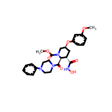 COC(=O)N1C[C@@H](Oc2cccc(OC)c2)C[C@H](C(=O)NO)[C@H]1C(=O)N1CCN(c2ccccc2)CC1